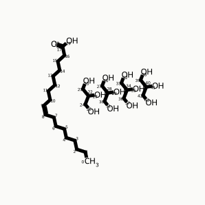 CCCCCCCC/C=C\CCCCCCCC(=O)O.OCC(O)CO.OCC(O)CO.OCC(O)CO.OCC(O)CO